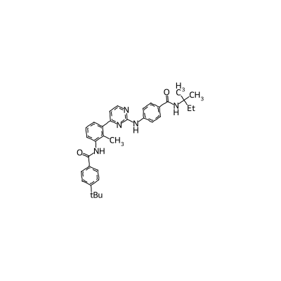 CCC(C)(C)NC(=O)c1ccc(Nc2nccc(-c3cccc(NC(=O)c4ccc(C(C)(C)C)cc4)c3C)n2)cc1